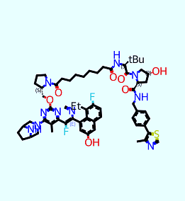 C=N/C(=C(/F)c1nc(OC[C@@H]2CCCN2C(=O)CCCCCCCC(=O)N[C@H](C(=O)N2C[C@H](O)C[C@H]2C(=O)NCc2ccc(-c3scnc3C)cc2)C(C)(C)C)nc(N2CC3CCC(C2)N3)c1C)c1cc(O)cc2ccc(F)c(CC)c12